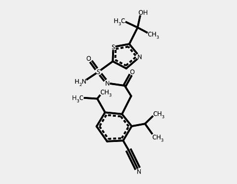 CC(C)c1ccc(C#N)c(C(C)C)c1CC(=O)N=S(N)(=O)c1cnc(C(C)(C)O)s1